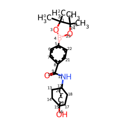 CC1(C)OB(c2ccc(C(=O)NC34CCC(O)(CC3)CC4)cc2)OC1(C)C